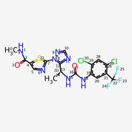 CNC(=O)c1cnc(-n2ncnc2[C@H](C)NC(=O)Nc2cc(C(F)(F)F)c(Cl)cc2Cl)s1